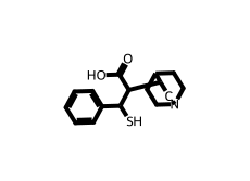 O=C(O)C(C(S)c1ccccc1)C1CN2CCC1CC2